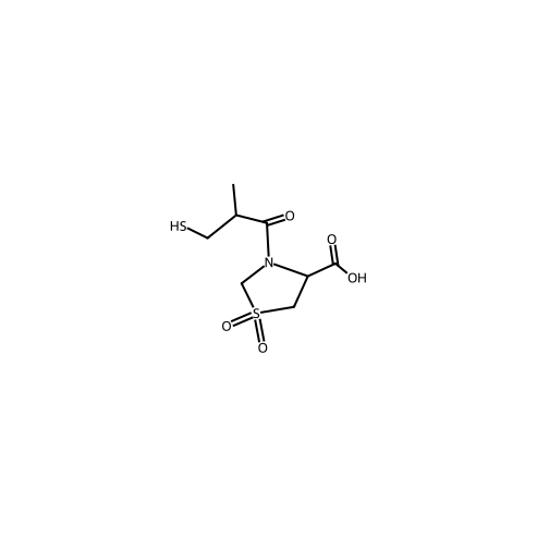 CC(CS)C(=O)N1CS(=O)(=O)CC1C(=O)O